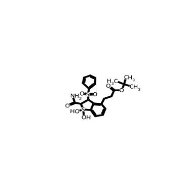 CC(C)(C)OC(=O)CCc1cccc2c1C(S(=O)(=O)c1ccccc1)C(C(N)=O)S2(O)O